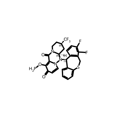 O=C1c2c(OP)c(=O)ccn2N([C@@H]2c3ccccc3SCc3c2ccc(F)c3F)[C@@H]2C[C@H](C(F)(F)F)CCN12